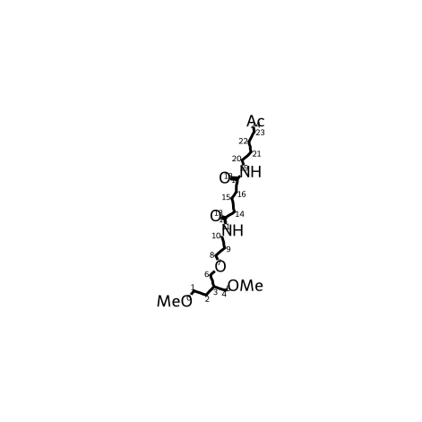 COCCC(COC)COCCCNC(=O)CCCC(=O)NCCCCC(C)=O